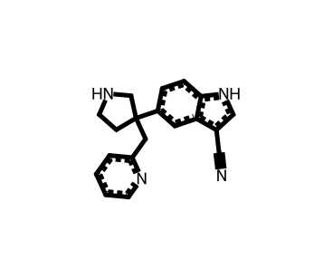 N#Cc1c[nH]c2ccc(C3(Cc4ccccn4)CCNC3)cc12